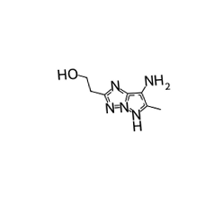 Cc1[nH]n2nc(CCO)nc2c1N